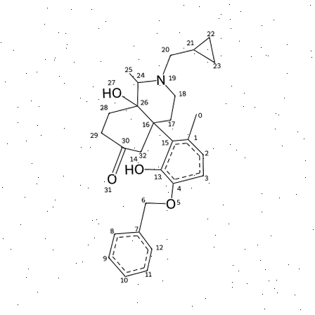 Cc1ccc(OCc2ccccc2)c(O)c1C12CCN(CC3CC3)C(C)C1(O)CCC(=O)C2